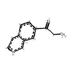 CCC(=O)c1ccc2ccncc2c1